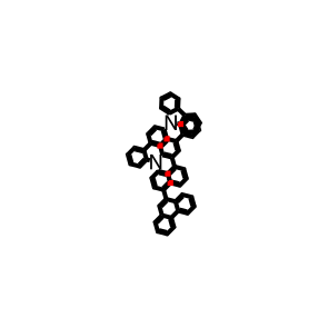 c1ccc(-c2ccc(N(c3ccc(-c4cc5ccccc5c5ccccc45)cc3)c3ccccc3-c3ccc(-n4c5ccccc5c5ccccc54)cc3)c(-c3ccccc3)c2)cc1